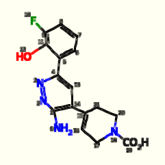 Nc1nnc(-c2cccc(F)c2O)cc1C1=CCN(C(=O)O)CC1